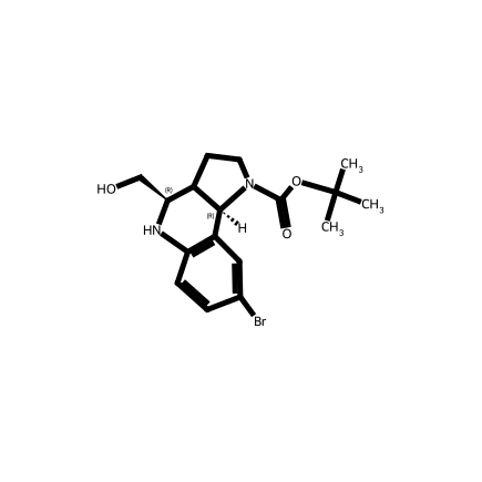 CC(C)(C)OC(=O)N1CCC2[C@H](CO)Nc3ccc(Br)cc3[C@@H]21